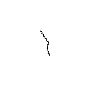 C=CCCCCC=CC=CC#CC#CCCC=CC